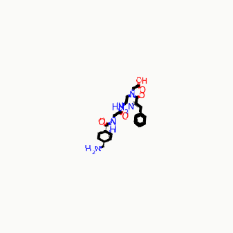 NC[C@H]1CC[C@H](C(=O)NCC(=O)NCCN(CC(=O)O)C(=O)[C@@H](N)Cc2ccccc2)CC1